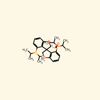 CC(C)P(c1cccc2c1C1(CO2)c2c(cccc2P(C(C)C)C(C)C)O[C@@H]1C=O)C(C)C